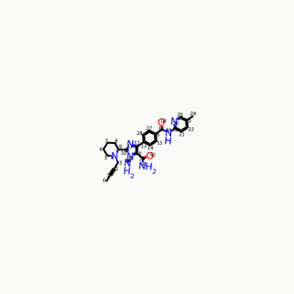 CC#CCN1CCCCC1c1nc(-c2ccc(C(=O)Nc3ccc(C)cn3)cc2)c(C(N)=O)n1N